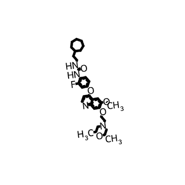 COc1cc2c(Oc3ccc(NC(=O)NCCC4CCCCCC4)c(F)c3)ccnc2cc1OCCN1CC(C)OC(C)C1